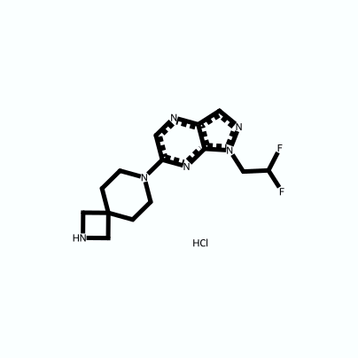 Cl.FC(F)Cn1ncc2ncc(N3CCC4(CC3)CNC4)nc21